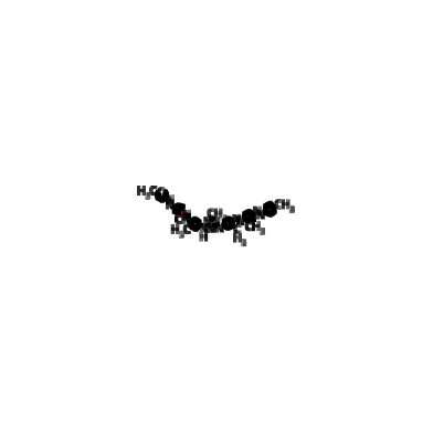 Cc1ccc(N=Nc2ccc(N=Nc3ccc(Nc4nc(C)nc(Nc5ccc(N=Nc6ccc(N=Nc7ccc(C)cc7)cc6C)c(C)c5)n4)cc3C)c(C)c2)cc1